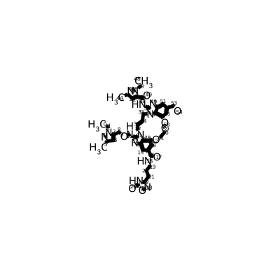 CCn1nc(C)cc1CONc1nc2cc(C(=O)NCCCc3noc(=O)[nH]3)cc3c2n1C/C=C/Cn1c(NC(=O)c2cc(C)nn2CC)nc2cc(C=O)cc(c21)OCCCO3